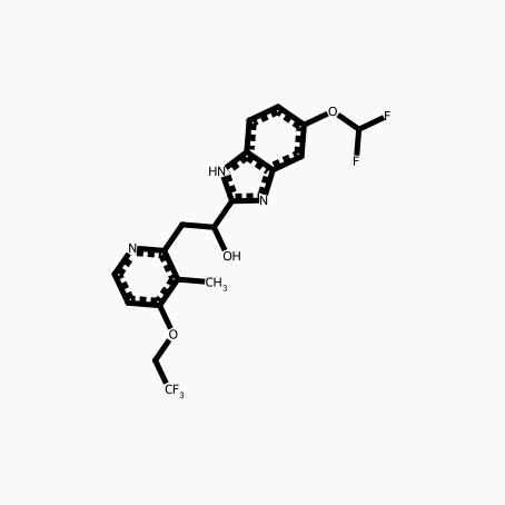 Cc1c(OCC(F)(F)F)ccnc1CC(O)c1nc2cc(OC(F)F)ccc2[nH]1